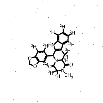 [2H]c1c([2H])c(C2c3[nH]c4c([2H])c([2H])c([2H])c([2H])c4c3C([2H])([2H])[C@]3([2H])C(=O)N(C)C([2H])([2H])C(=O)N23)c([2H])c2c1OCO2